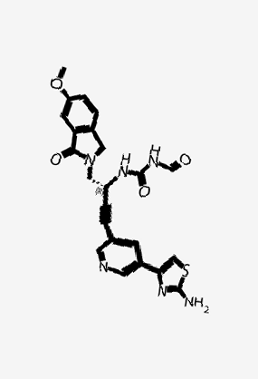 COc1ccc2c(c1)C(=O)N(C[C@@H](C#Cc1cncc(-c3csc(N)n3)c1)NC(=O)NC=O)C2